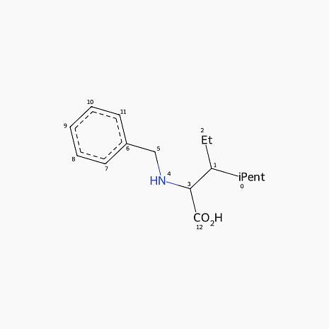 CCCC(C)C(CC)C(NCc1ccccc1)C(=O)O